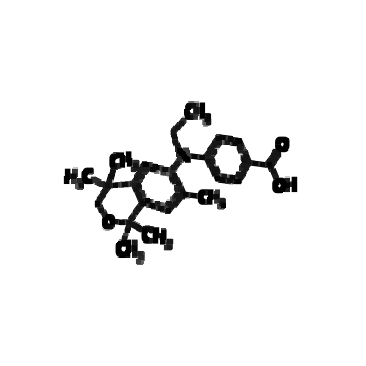 CCN(c1ccc(C(=O)O)cc1)c1cc2c(cc1C)C(C)(C)OCC2(C)C